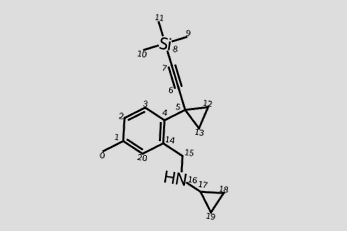 Cc1ccc(C2(C#C[Si](C)(C)C)CC2)c(CNC2CC2)c1